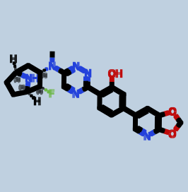 CN(c1cnc(-c2ccc(-c3cnc4c(c3)OCO4)cc2O)nn1)[C@H]1C[C@@H]2CC[C@@H](N2)[C@H]1F